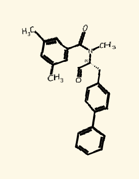 Cc1cc(C)cc(C(=O)N(C)[C@@H](C=O)Cc2ccc(-c3ccccc3)cc2)c1